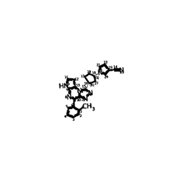 Cc1ccccc1-c1nc2[nH]ccc2n2c([C@@H]3CC[C@H](n4ccc(C#N)c4)C3)nnc12